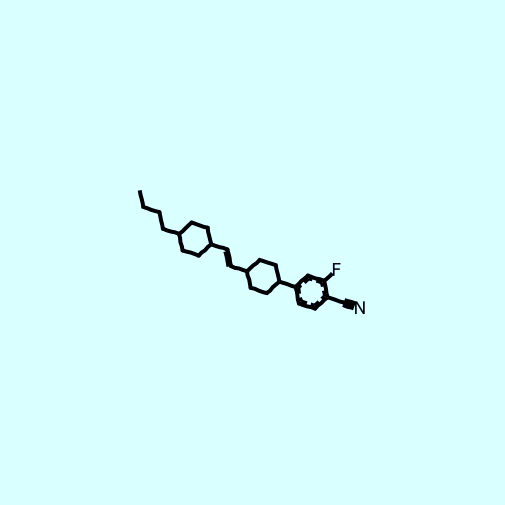 CCCCC1CCC(C=CC2CCC(c3ccc(C#N)c(F)c3)CC2)CC1